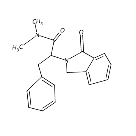 CN(C)C(=O)C(Cc1ccccc1)N1Cc2ccccc2C1=O